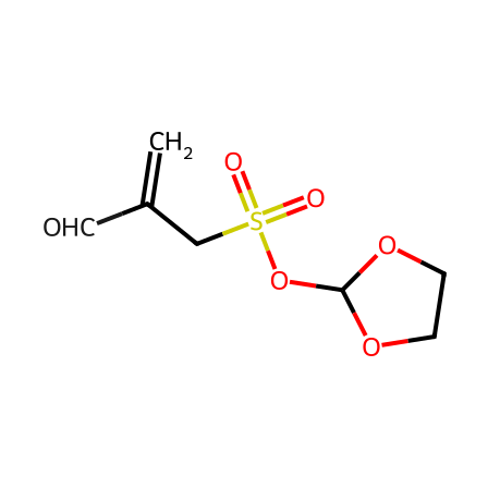 C=C(C=O)CS(=O)(=O)OC1OCCO1